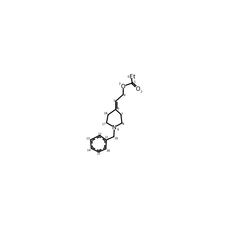 CCC(=O)OCC=C1CCN(Cc2ccccc2)CC1